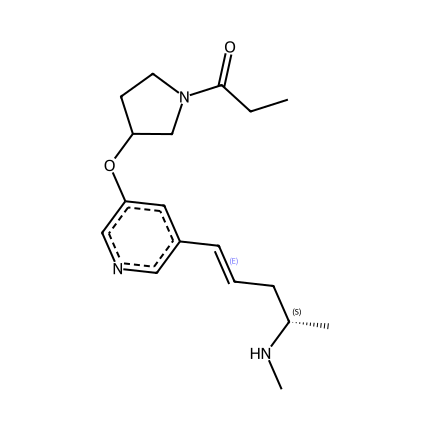 CCC(=O)N1CCC(Oc2cncc(/C=C/C[C@H](C)NC)c2)C1